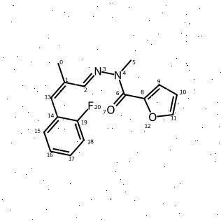 CC(C=NN(C)C(=O)c1ccco1)=Cc1ccccc1F